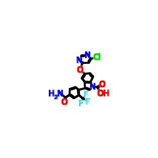 NC(=O)c1ccc(-c2cn(C(=O)O)c3ccc(Oc4cc(Cl)ncn4)cc23)c(C(F)(F)F)c1